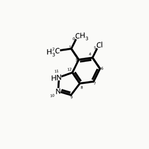 CC(C)c1c(Cl)ccc2cn[nH]c12